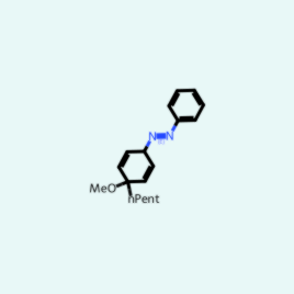 CCCCCC1(OC)C=CC(/N=N/c2ccccc2)C=C1